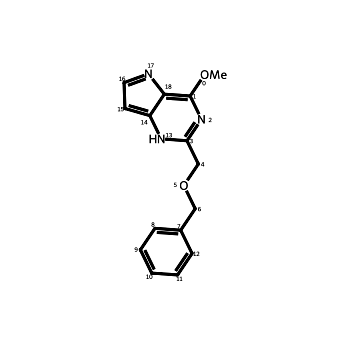 COc1nc(COCc2ccccc2)[nH]c2ccnc1-2